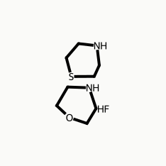 C1COCCN1.C1CSCCN1.F